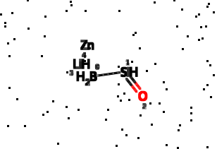 B[SiH]=O.[LiH].[Zn]